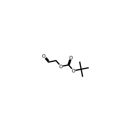 CC(C)(C)OC(=O)OCC=O